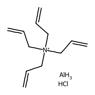 C=CC[N+](CC=C)(CC=C)CC=C.Cl.[AlH3]